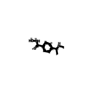 CNC(C)c1ccc(C(=O)NO)cc1